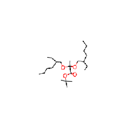 CCCCC(CC)COC(C)(OCC(CC)CCCC)C(=O)OC(C)(C)C